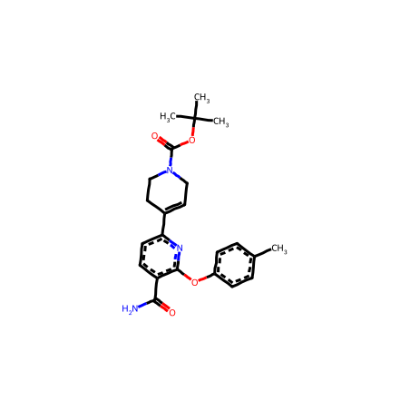 Cc1ccc(Oc2nc(C3=CCN(C(=O)OC(C)(C)C)CC3)ccc2C(N)=O)cc1